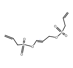 C=CCS(=O)(=O)O/C=C/COS(=O)(=O)CC=C